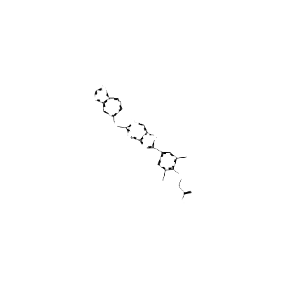 Cc1cc(-c2nc3cnc(Oc4ccc5ncsc5c4)nc3o2)cc(C)c1OCC(=O)O